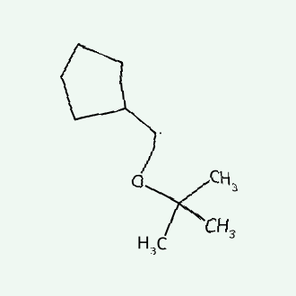 CC(C)(C)O[CH]C1CCCC1